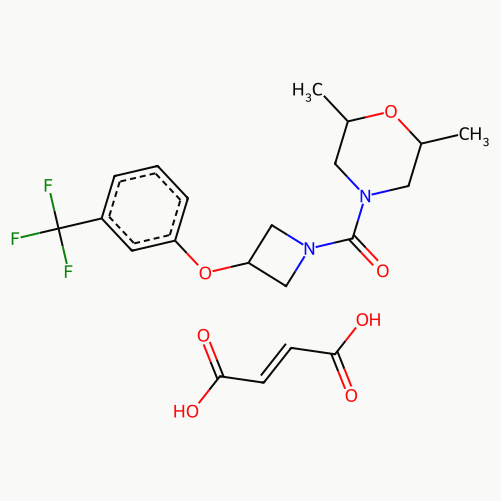 CC1CN(C(=O)N2CC(Oc3cccc(C(F)(F)F)c3)C2)CC(C)O1.O=C(O)C=CC(=O)O